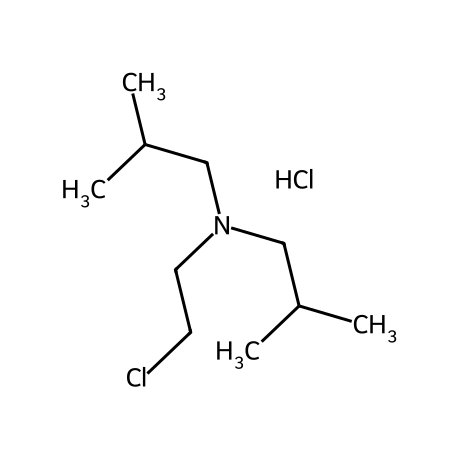 CC(C)CN(CCCl)CC(C)C.Cl